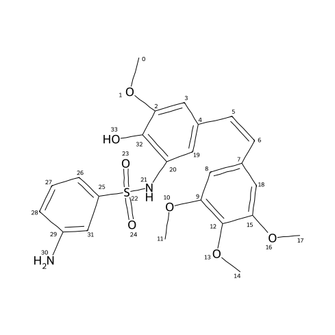 COc1cc(/C=C\c2cc(OC)c(OC)c(OC)c2)cc(NS(=O)(=O)c2cccc(N)c2)c1O